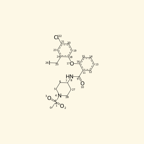 CS(=O)(=O)N1CCC(NC(=O)c2ccccc2Oc2ccc(Cl)cc2CI)CC1